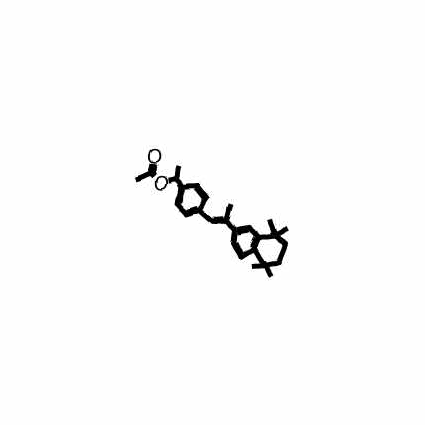 CC(=O)OC(C)c1ccc(C=C(C)c2ccc3c(c2)C(C)(C)CCC3(C)C)cc1